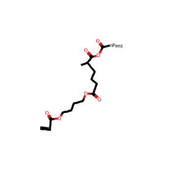 C=CC(=O)OCCCCOC(=O)CCCC(C)C(=O)OC(=O)CCCCC